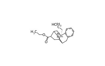 CCOC(=O)C1CC2C3Cc4ccccc4[C@]2(CC)CC1N3.Cl